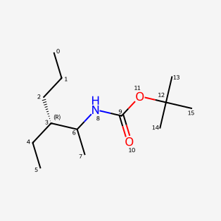 CCC[C@@H](CC)C(C)NC(=O)OC(C)(C)C